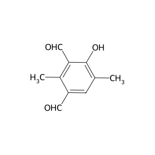 Cc1cc(C=O)c(C)c(C=O)c1O